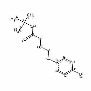 CC(C)(C)OC(=O)COCCc1ccc(Br)cc1